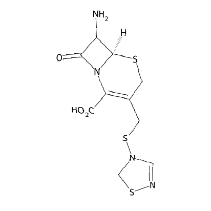 NC1C(=O)N2C(C(=O)O)=C(CSN3C=NSC3)CS[C@H]12